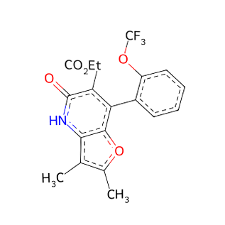 CCOC(=O)c1c(-c2ccccc2OC(F)(F)F)c2oc(C)c(C)c2[nH]c1=O